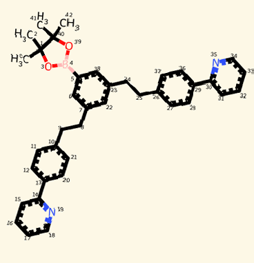 CC1(C)OB(c2cc(CCc3ccc(-c4ccccn4)cc3)cc(CCc3ccc(-c4ccccn4)cc3)c2)OC1(C)C